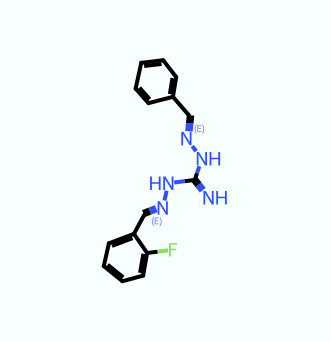 N=C(N/N=C/c1ccccc1)N/N=C/c1ccccc1F